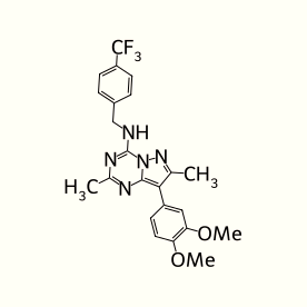 COc1ccc(-c2c(C)nn3c(NCc4ccc(C(F)(F)F)cc4)nc(C)nc23)cc1OC